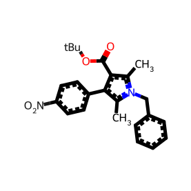 Cc1c(C(=O)OC(C)(C)C)c(-c2ccc([N+](=O)[O-])cc2)c(C)n1Cc1ccccc1